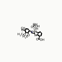 COc1ccc(/C=C/c2nc3c(C(=O)O)cccc3[nH]2)c(OC)c1OC.O=P(O)(O)O